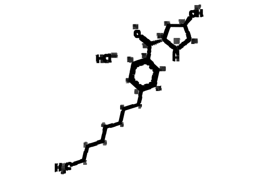 CCCCCCCCc1ccc(C(=O)[C@@H]2C[C@@H](O)CN2)cc1.Cl